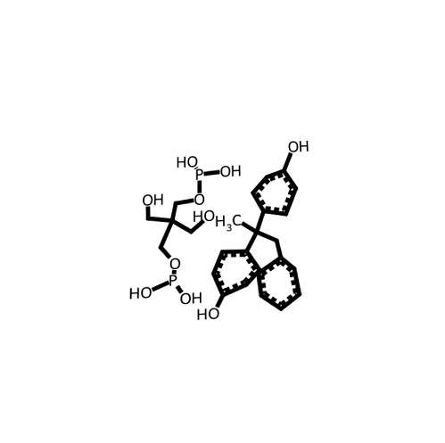 CC(Cc1ccccc1)(c1ccc(O)cc1)c1ccc(O)cc1.OCC(CO)(COP(O)O)COP(O)O